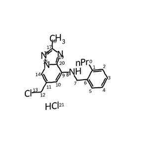 CCCc1ccccc1CNc1cc(CCl)cn2nc(C)nc12.Cl